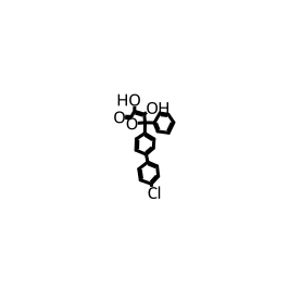 O=C1OC(c2ccccc2)(c2ccc(-c3ccc(Cl)cc3)cc2)C(O)=C1O